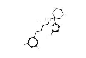 O[C@@H](CCc1cc(F)cc(F)c1)CNC1(c2ccc(Br)s2)CCCCC1